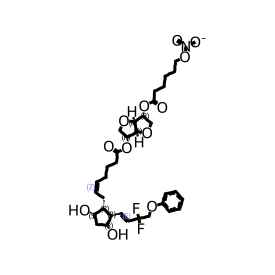 O=C(CCC/C=C\C[C@@H]1[C@@H](/C=C/C(F)(F)COc2ccccc2)[C@H](O)C[C@@H]1O)O[C@@H]1CO[C@H]2[C@@H]1OC[C@H]2OC(=O)CCCCCO[N+](=O)[O-]